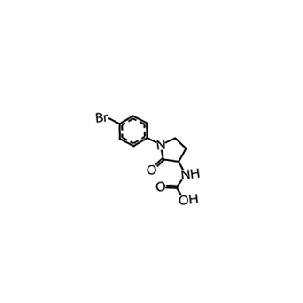 O=C(O)NC1CCN(c2ccc(Br)cc2)C1=O